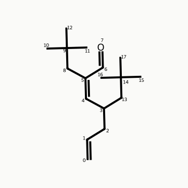 C=CCC(C=C(C=O)CC(C)(C)C)CC(C)(C)C